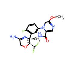 COC1=NC=C(C(N)=O)N(c2ccc(F)c([C@@]3(C)N=C(N)CO[C@H]3C(F)F)c2)C1